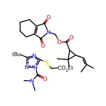 CC(C)=CC1C(C(=O)OCN2C(=O)C3=C(CCCC3)C2=O)C1(C)C.CCOC(=O)CSc1nc(C(C)(C)C)nn1C(=O)N(C)C